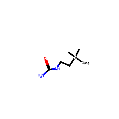 CO[Si](C)(C)CCNC(N)=O